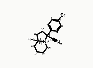 N#CC1(c2ccc(Br)cc2)CC[C@H]2CCCCN21